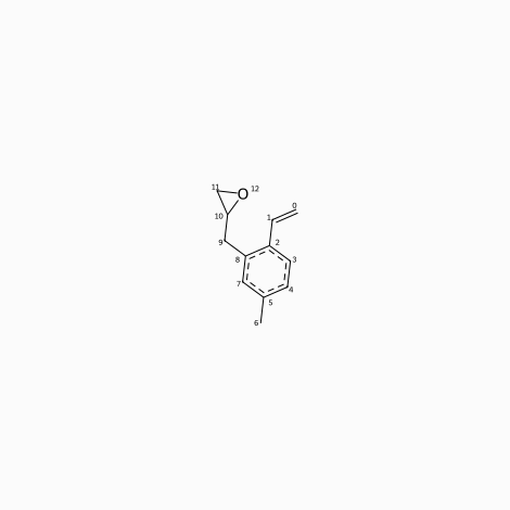 C=Cc1ccc(C)cc1CC1CO1